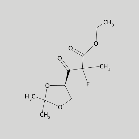 CCOC(=O)C(C)(F)C(=O)[C@H]1COC(C)(C)O1